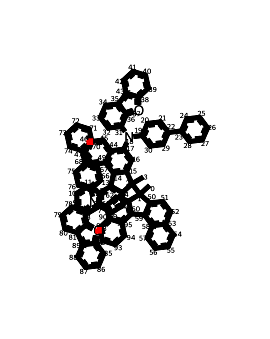 CC1(C2(C)c3ccc4ccccc4c3-c3c2cc(N(c2ccc(-c4ccccc4)cc2)c2cccc4c2oc2ccccc24)c2ccccc32)c2ccc3ccccc3c2-c2c1cc(N(c1ccc(-c3ccccc3)cc1)c1cccc3c1oc1ccccc13)c1ccccc21